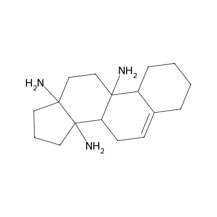 NC12CCC3(N)CCCC3(N)C1CC=C1CCCCC12